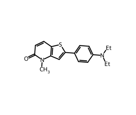 CCN(CC)c1ccc(-c2cc3c(ccc(=O)n3C)s2)cc1